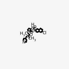 C[C@@H](C(=O)N(C)Cc1ccncc1)N1CC[C@H](NS(=O)(=O)c2ccc3cc(Cl)ccc3c2)C1=O